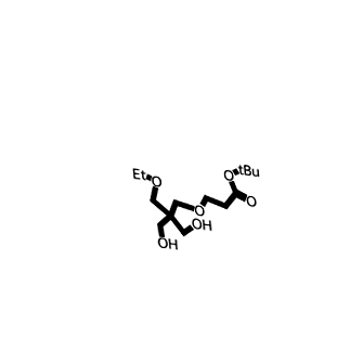 CCOCC(CO)(CO)COCCC(=O)OC(C)(C)C